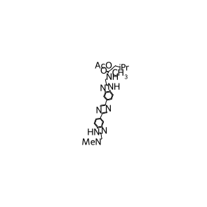 CNCc1nc2cc(-c3cnc(-c4ccc5[nH]c(CNC(=O)C(C)(CC(C)C)OC(C)=O)nc5c4)cn3)ccc2[nH]1